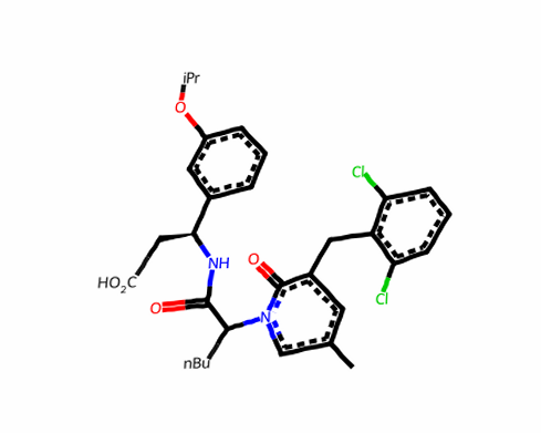 CCCCC(C(=O)N[C@@H](CC(=O)O)c1cccc(OC(C)C)c1)n1cc(C)cc(Cc2c(Cl)cccc2Cl)c1=O